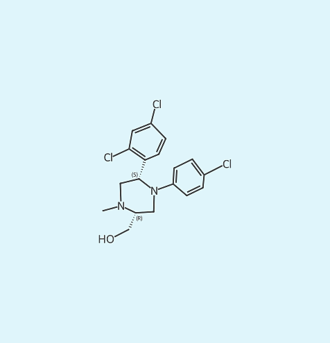 CN1C[C@H](c2ccc(Cl)cc2Cl)N(c2ccc(Cl)cc2)C[C@@H]1CO